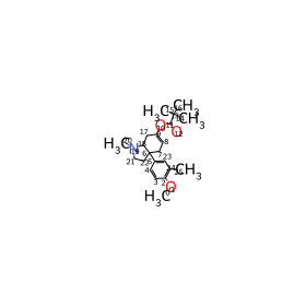 COc1ccc(C23CC=C(OC(=O)C(C)(C)C)CC2N(C)CC3)cc1C